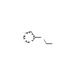 [S]CSc1cnn[nH]1